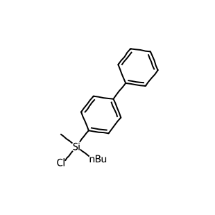 CCCC[Si](C)(Cl)c1ccc(-c2ccccc2)cc1